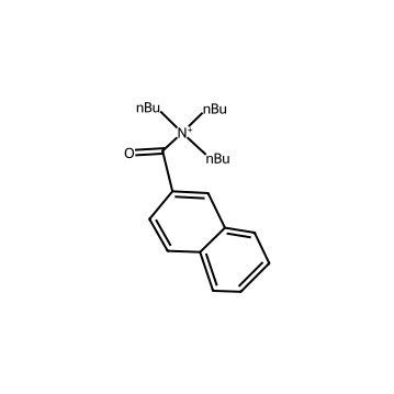 CCCC[N+](CCCC)(CCCC)C(=O)c1ccc2ccccc2c1